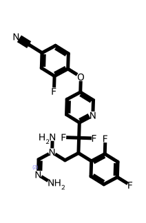 N#Cc1ccc(Oc2ccc(C(F)(F)C(CN(N)/C=N\N)c3ccc(F)cc3F)nc2)c(F)c1